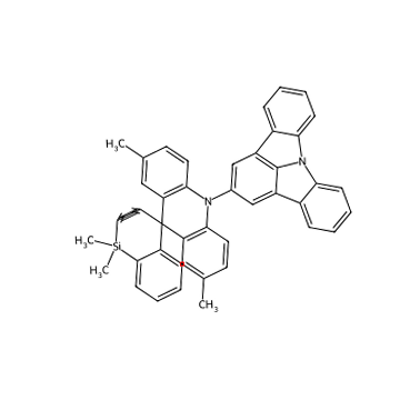 Cc1ccc2c(c1)C1(c3cc(C)ccc3N2c2cc3c4ccccc4n4c5ccccc5c(c2)c34)c2ccccc2[Si](C)(C)c2ccccc21